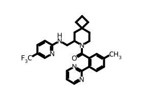 Cc1ccc(-c2ncccn2)c(C(=O)N2CCC3(CCC3)CC2CNc2ccc(C(F)(F)F)cn2)c1